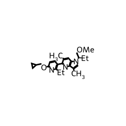 CCc1nc(OCC2CC2)ccc1-c1nc2c(C)cn([C@H](CC)COC)c2cc1C